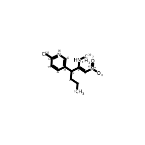 CCCC(/C(=C/[N+](=O)[O-])NC)c1ccc(Cl)nc1